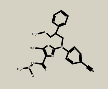 COCC(CN(c1ccc(C#N)cc1)c1nc(C(=O)N[S+](C)[O-])c(C)s1)c1ccccc1